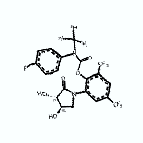 [2H]C([2H])([2H])N(C(=O)Oc1c(N2C[C@@H](O)[C@H](O)C2=O)cc(C(F)(F)F)cc1C(F)(F)F)c1ccc(F)cc1